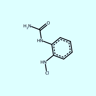 NC(=O)Nc1ccccc1NCl